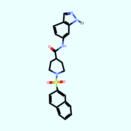 CCn1ncc2ccc(NC(=O)C3CCN(S(=O)(=O)c4ccc5ccccc5c4)CC3)cc21